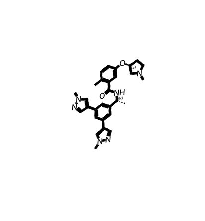 Cc1ccc(O[C@H]2CCN(C)C2)cc1C(=O)N[C@H](C)c1cc(-c2cnn(C)c2)cc(-c2cnn(C)c2)c1